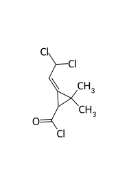 CC1(C)/C(=C\C(Cl)Cl)C1C(=O)Cl